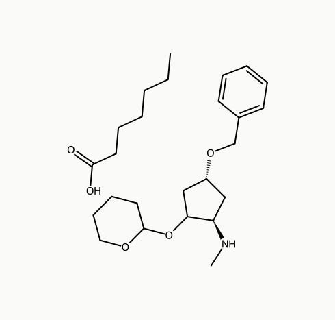 CCCCCCC(=O)O.CN[C@@H]1C[C@@H](OCc2ccccc2)CC1OC1CCCCO1